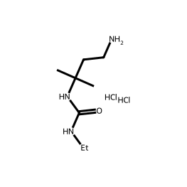 CCNC(=O)NC(C)(C)CCN.Cl.Cl